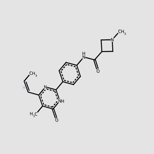 C/C=C\c1nc(-c2ccc(NC(=O)C3CN(C)C3)cc2)[nH]c(=O)c1C